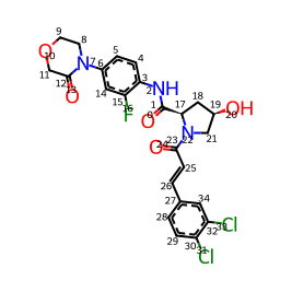 O=C(Nc1ccc(N2CCOCC2=O)cc1F)[C@H]1C[C@@H](O)CN1C(=O)C=Cc1ccc(Cl)c(Cl)c1